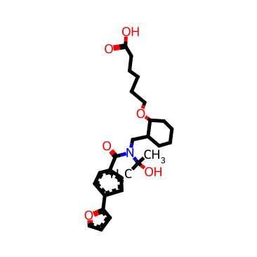 CC(C)(O)N(CC1CCCCC1OCCCCCC(=O)O)C(=O)c1ccc(-c2ccco2)cc1